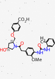 COc1cc(CC(=O)N2C[C@@H](O)C[C@H]2COc2ccc(C(=O)O)cc2)ccc1NC(=O)Nc1ccccc1C